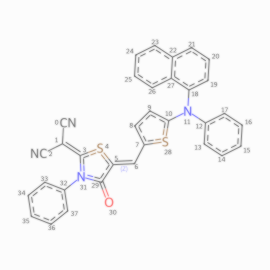 N#CC(C#N)=c1s/c(=C\c2ccc(N(c3ccccc3)c3cccc4ccccc34)s2)c(=O)n1-c1ccccc1